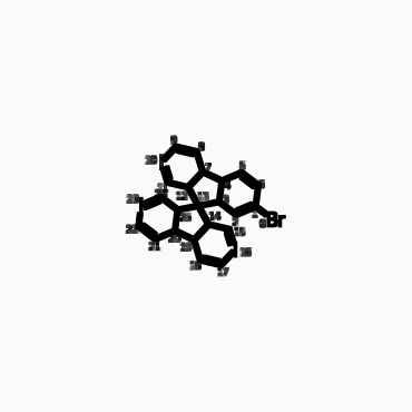 BrC1=CC2C(C=C1)C1C=CI=CC1C21C2C=IC=CC2C2C=CI=CC21